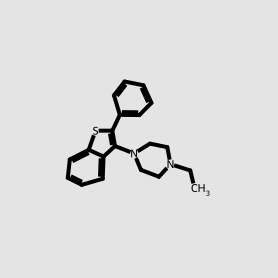 CCN1CCN(c2c(-c3ccccc3)sc3ccccc23)CC1